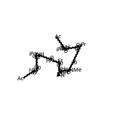 CCC(CCCCNC(=O)CCCCCCCCC(=O)NC(CC(C)C)C(=O)OCCCCCCOC(=O)C(CC(C)C)NC(=O)CCCCCCCCC(C)=O)C(=O)OCCNCC(CO)(CNCCOC(=O)C(CCCCCC(=O)CCCCCCCCC(=O)CC(CC(C)C)C(=O)OCCCCCCOC(=O)C(CC(C)C)NC(=O)CCCCCCCCC(C)=O)NC)CN1CC1